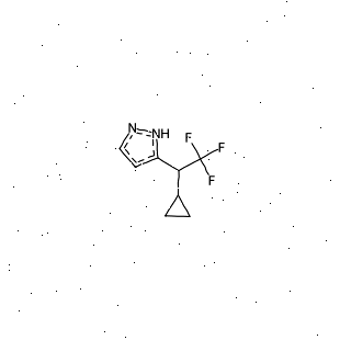 FC(F)(F)C(c1c[c]n[nH]1)C1CC1